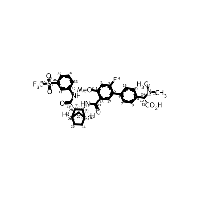 COc1cc(F)c(-c2ccc([C@@H](C(=O)O)N(C)C)cc2)cc1C(=O)N[C@@H]1[C@H]2CC[C@H](C2)[C@@H]1C(=O)Nc1cccc(S(=O)(=O)C(F)(F)F)c1